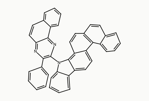 c1ccc(-c2nc3ccc4ccccc4c3nc2-n2c3ccccc3c3ccc4c(ccc5ccc6ccccc6c54)c32)cc1